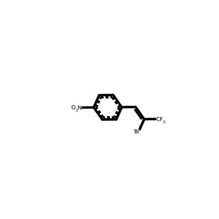 O=[N+]([O-])c1ccc(/C=C(\Br)C(F)(F)F)cc1